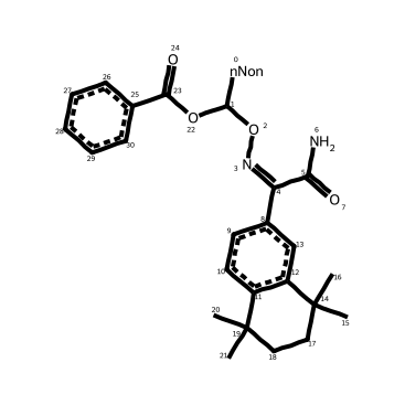 CCCCCCCCCC(ON=C(C(N)=O)c1ccc2c(c1)C(C)(C)CCC2(C)C)OC(=O)c1ccccc1